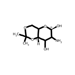 CC1(C)OCC2O[C@@H](O)C(N)C(O)[C@@H]2O1